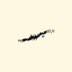 Cc1cc(N=Nc2c(S(=O)(=O)O)cc3cc(N=Nc4ccc(O)cc4)ccc3c2O)c(C)cc1N=Nc1ccc(CNc2ccc(S(=O)(=O)O)cc2)cc1